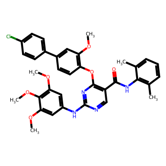 COc1cc(-c2ccc(Cl)cc2)ccc1Oc1nc(Nc2cc(OC)c(OC)c(OC)c2)ncc1C(=O)Nc1c(C)cccc1C